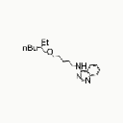 CCCCC(CC)COCCCCCNc1ncnc2ccccc12